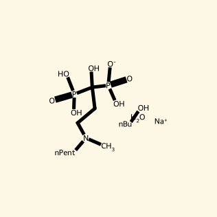 CCCCCN(C)CCC(O)(P(=O)([O-])O)P(=O)(O)O.CCCCO.O.[Na+]